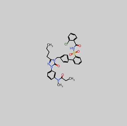 CCCCc1nn(-c2cccc(N(C)C(=O)CC)c2)c(=O)n1Cc1ccc(-c2ccccc2S(=O)(=O)NC(=O)c2ccccc2Cl)cc1